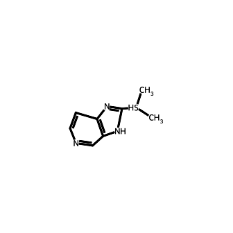 C[SH](C)c1nc2ccncc2[nH]1